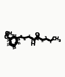 CCCCC(=O)NCCCc1cccc(OC)c1